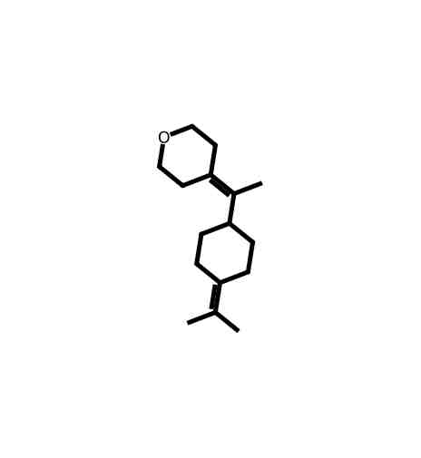 CC(C)=C1CCC(C(C)=C2CCOCC2)CC1